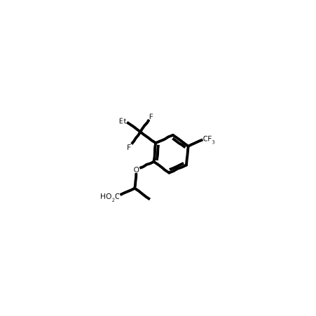 CCC(F)(F)c1cc(C(F)(F)F)ccc1OC(C)C(=O)O